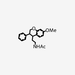 COc1ccc2c(c1)OCC(c1ccccc1)C2CCNC(C)=O